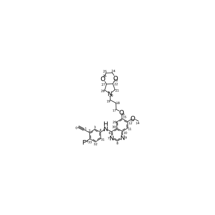 C#Cc1cc(Nc2ncnc3cc(OC)c(OCCCN4CC5OCCOC5C4)cc23)ccc1F